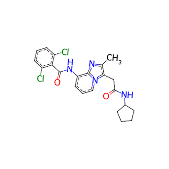 Cc1nc2c(NC(=O)c3c(Cl)cccc3Cl)cccn2c1CC(=O)NC1CCCC1